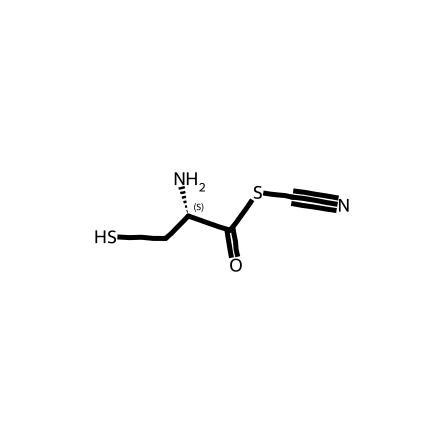 N#CSC(=O)[C@@H](N)CS